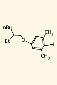 CCCCC(CC)COc1cc(C)c(I)c(C)c1